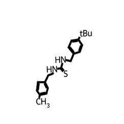 Cc1ccc(CCNC(=S)NCc2ccc(C(C)(C)C)cc2)cc1